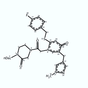 CCCCCCCCCCN1CCN(C(=O)Cn2cc(Cc3cnn(C)c3)c(=O)nc2SCc2ccc(F)cc2)CC1=O